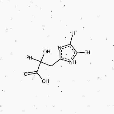 [2H]c1nc(CC([2H])(O)C(=O)O)[nH]c1[2H]